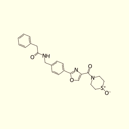 O=C(Cc1ccccc1)NCc1ccc(-c2nc(C(=O)N3CC[S+]([O-])CC3)co2)cc1